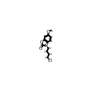 COc1ccc2c(c1)oc(=O)n2CCCCCl